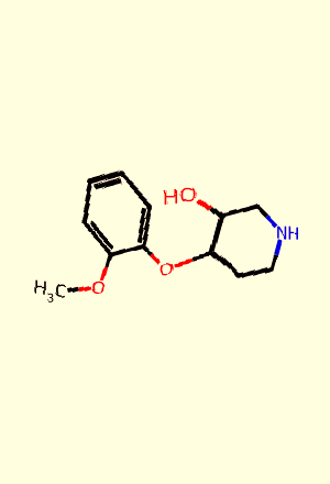 COc1ccccc1OC1CCNCC1O